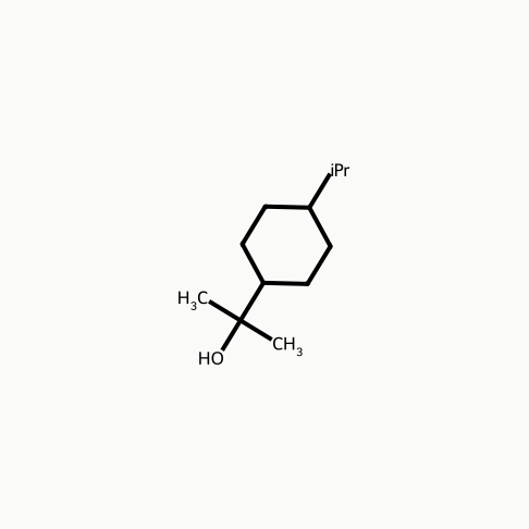 CC(C)C1CCC(C(C)(C)O)CC1